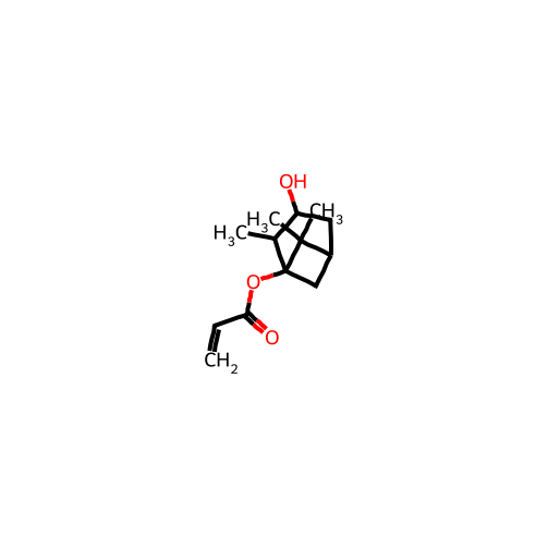 C=CC(=O)OC12CC(CC(O)C1C)C2(C)C